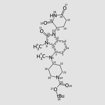 CN(c1cccc2c1n(C)c(=O)n2C1CCC(=O)NC1=O)C1CCN(C(=O)OC(C)(C)C)CC1